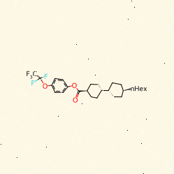 CCCCCC[C@H]1CC[C@H]([C@H]2CC[C@H](C(=O)Oc3ccc(OC(F)(F)C(F)(F)F)cc3)CC2)CC1